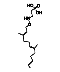 CC=CCCC(C)=CCCC(C)=CCONCCP(=O)(O)O